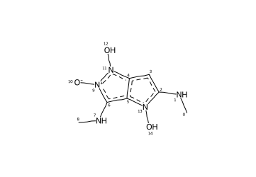 CNc1cc2c(c(NC)[n+]([O-])n2O)n1O